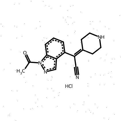 CC(=O)n1ncc2c(C(C#N)=C3CCNCC3)cccc21.Cl